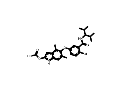 Cc1cc2[nH]c(OC(=O)O)cc2c(C)c1Oc1ccc(O)c(C(=O)NC(C(C)C)C(C)C)c1